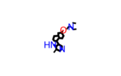 CCN(CC)CCOc1ccc2c(ccc3[nH]c4c(C)cncc4c32)c1